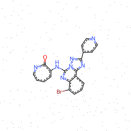 O=c1nccccc1Nc1nc2c(Br)cccc2c2nc(-c3ccncc3)nn12